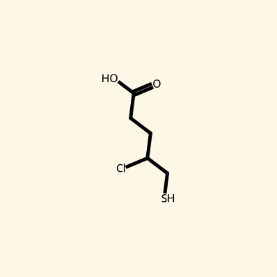 O=C(O)CCC(Cl)CS